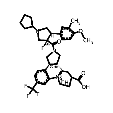 COC[C@H]1CN(C(=O)[C@]2(F)CN(C3CCCC3)C[C@H]2c2ccc(OC)c(C)c2)C[C@@H]1c1ccc(C(F)(F)F)cc1N1CCC(C(=O)O)CC1